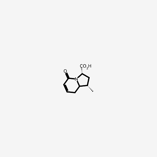 C[C@H]1C[C@@H](C(=O)O)N2C(=O)C=CCC12